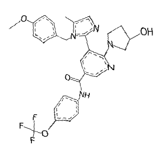 COc1ccc(Cn2c(C)cnc2-c2cc(C(=O)Nc3ccc(OC(F)(F)F)cc3)cnc2N2CCC(O)C2)cc1